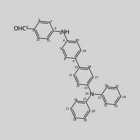 O=Cc1ccc(Nc2ccc(-c3ccc(N(c4ccccc4)c4ccccc4)cc3)cc2)cc1